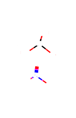 O=[N+]([O-])[O-].OB(O)O.[K+]